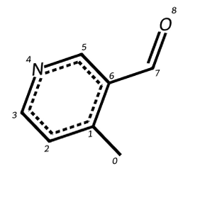 Cc1ccncc1C=O